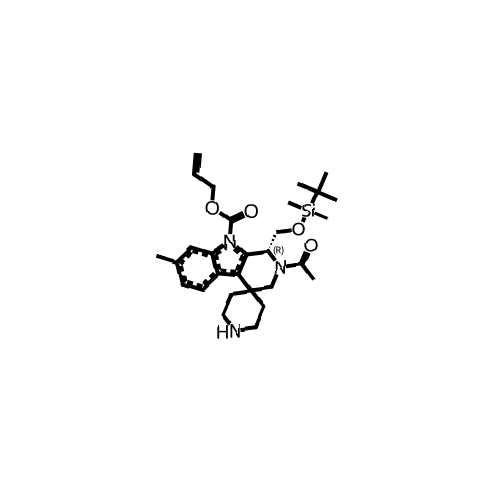 C=CCOC(=O)n1c2c(c3ccc(C)cc31)C1(CCNCC1)CN(C(C)=O)[C@H]2CO[Si](C)(C)C(C)(C)C